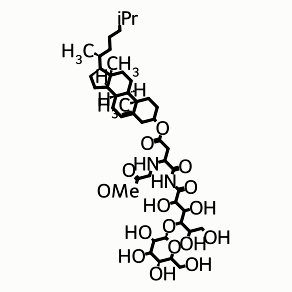 COC(=O)CNC(CC(=O)OC1CC[C@]2(C)C(=CC[C@@H]3[C@H]4CC[C@@H]([C@@H](C)CCCC(C)C)[C@]4(C)CC[C@H]32)C1)C(=O)NC(=O)C(O)C(O)C(O[C@H]1OC(CO)[C@@H](O)C(O)[C@H]1O)C(O)CO